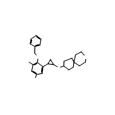 Fc1cc(F)c(OCc2ccccc2)c(C2CC2NC2CCC3(CCNCC3)CC2)c1